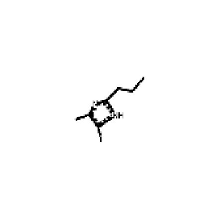 CCCc1nc(C)c(I)[nH]1